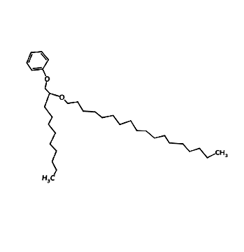 CCCCCCCCCCCCCCCCCCOC(CCCCCCCCC)COc1ccccc1